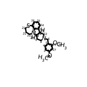 COc1ccc(CN2CC[C@H]3[C@@H](C2)c2cccc4c2N3CCCS4)c(OC)c1